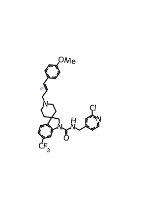 COc1ccc(/C=C/CN2CCC3(CC2)CN(C(=O)NCc2ccnc(Cl)c2)c2cc(C(F)(F)F)ccc23)cc1